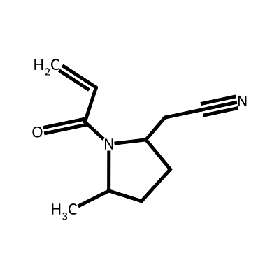 C=CC(=O)N1C(C)CCC1CC#N